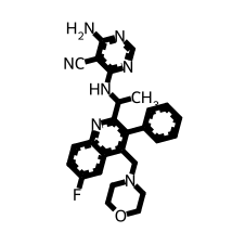 CC(Nc1ncnc(N)c1C#N)c1nc2ccc(F)cc2c(CN2CCOCC2)c1-c1ccccc1